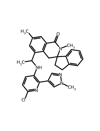 Cc1cc2c(c(C(C)Nc3ccc(Cl)nc3-c3cnn(C)c3)c1)CC1(CCc3ccccc31)N(C)C2=O